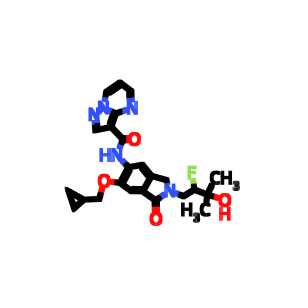 CC(C)(O)C(F)CN1Cc2cc(NC(=O)c3cnn4cccnc34)c(OCC3CC3)cc2C1=O